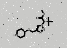 COC(=O)[C@@H](n1cc(COC2CCNCC2)nn1)C(C)(C)C